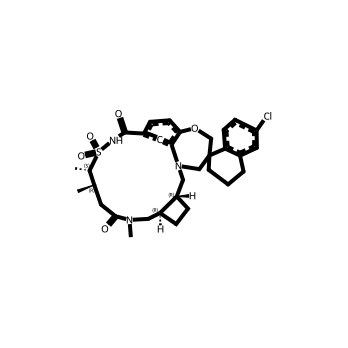 C[C@@H]1CC(=O)N(C)C[C@@H]2CC[C@H]2CN2CC3(CCCc4cc(Cl)ccc43)COc3ccc(cc32)C(=O)NS(=O)(=O)[C@H]1C